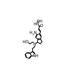 Nc1cc2c(cc1/C=C/C(=O)NO)CCC2N(CCO)CCc1c[nH]c2ccccc12